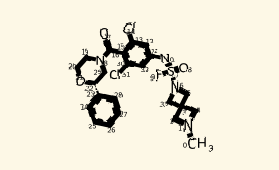 CN1CC2(C1)CN(S(=O)(F)=Nc1cc(Cl)c(C(=O)N3CCO[C@@H](c4ccccc4)C3)c(Cl)c1)C2